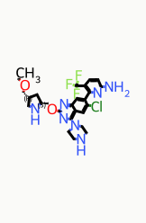 CCOC[C@H]1CN[C@H](COc2nc(N3CCNCC3)c3cc(Cl)c(-c4nc(N)ccc4C(F)(F)F)cc3n2)C1